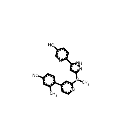 Cc1cc(C#N)ccc1-c1ccnc(N(C)c2cc(-c3ccc(O)cn3)[nH]n2)c1